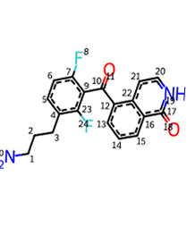 NCCCc1ccc(F)c(C(=O)c2cccc3c(=O)[nH]ccc23)c1F